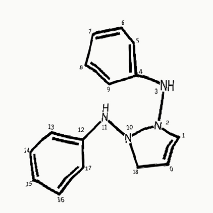 C1=CN(Nc2ccccc2)N(Nc2ccccc2)C1